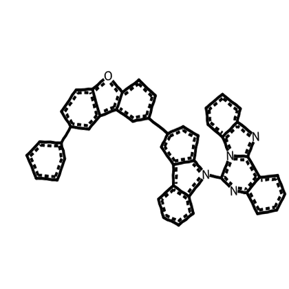 c1ccc(-c2ccc3oc4ccc(-c5ccc6c(c5)c5ccccc5n6-c5nc6ccccc6c6nc7ccccc7n56)cc4c3c2)cc1